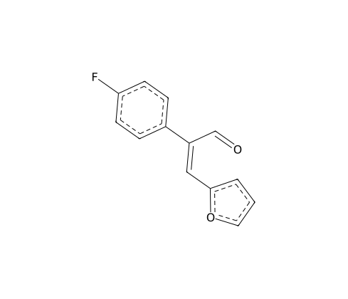 O=CC(=Cc1ccco1)c1ccc(F)cc1